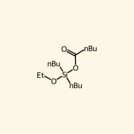 CCCCC(=O)O[Si](CCCC)(CCCC)OCC